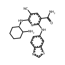 N#Cc1cc(C(N)=O)c(Nc2ccc3ncsc3c2)nc1N[C@@H]1CCCCC1N